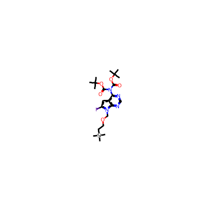 CC(C)(C)OC(=O)N(C(=O)OC(C)(C)C)c1ncnc2c1cc(I)n2COCC[Si](C)(C)C